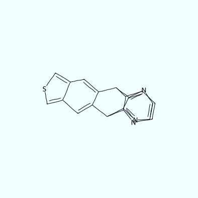 c1cnc2c(c1)C1c3cc4cscc4cc3C2c2nccnc21